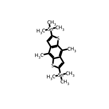 Cc1c2c[c]([Sn]([CH3])([CH3])[CH3])sc2c(C)c2c[c]([Sn]([CH3])([CH3])[CH3])sc12